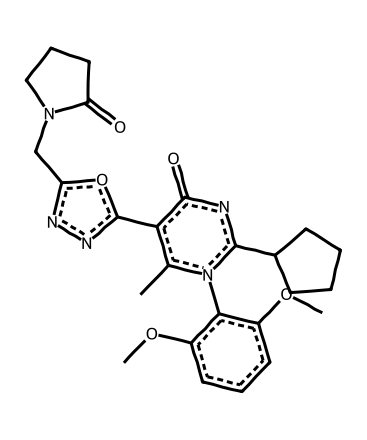 COc1cccc(OC)c1-n1c(C2CCCC2)nc(=O)c(-c2nnc(CN3CCCC3=O)o2)c1C